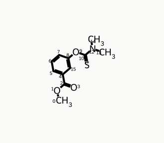 COC(=O)c1cccc(OC(=S)N(C)C)c1